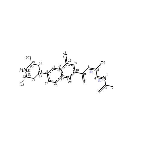 C=C(C)/N=C/C(F)=C\C(=C)c1cc(=O)n2cc(N3C[C@@H](C)N[C@@H](C)C3)ccc2n1